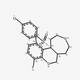 O=S(=O)(c1ccc(Cl)cc1)[C@]12CCOCCC1COc1c(F)ccc(F)c12